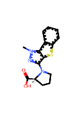 Cn1nc(N2CCC[C@H]2C(=O)O)c2sc3ccccc3c21